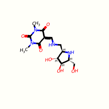 CN1C(=O)C(=CNC[C@H]2N[C@H](CO)[C@@H](O)[C@@H]2O)C(=O)N(C)C1=O